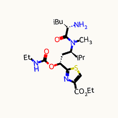 CCNC(=O)O[C@H](C[C@H](C(C)C)N(C)C(=O)[C@@H](N)[C@@H](C)CC)c1nc(C(=O)OCC)cs1